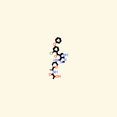 CC(O)C(=O)N[C@@H](C)[C@@H]1CC[C@@H](Nc2ncnc3[nH]cc(C(=O)c4ccc(Oc5ccccc5)cc4Cl)c23)CO1